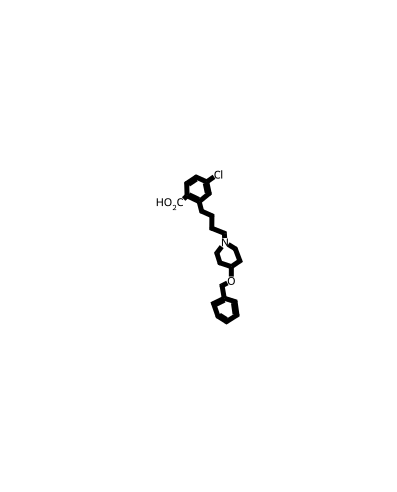 O=C(O)c1ccc(Cl)cc1CCCCN1CCC(OCc2ccccc2)CC1